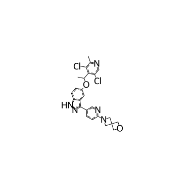 Cc1ncc(Cl)c(C(C)Oc2ccc3[nH]nc(-c4ccc(N5CC6(COC6)C5)nc4)c3c2)c1Cl